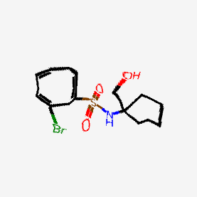 O=S(=O)(NC1(CO)CCCC1)c1ccccc1Br